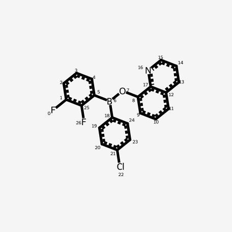 Fc1cccc(B(Oc2cccc3cccnc23)c2ccc(Cl)cc2)c1F